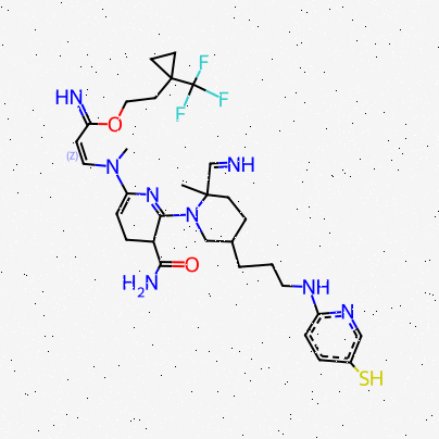 CN(/C=C\C(=N)OCCC1(C(F)(F)F)CC1)C1=CCC(C(N)=O)C(N2CC(CCCNc3ccc(S)cn3)CCC2(C)C=N)=N1